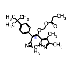 CCC(=O)OCO/C(=C(\c1ccc(C(C)(C)C)cc1)C1C=N1)c1c(C)c(C)nn1C